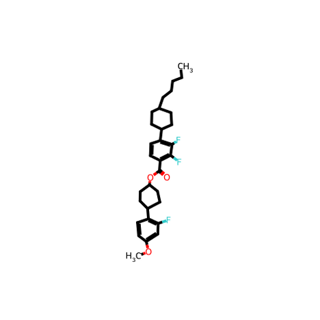 CCCCCC1CCC(c2ccc(C(=O)OC3CCC(c4ccc(OC)cc4F)CC3)c(F)c2F)CC1